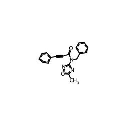 Cc1nc(N(Cc2ccccc2)C(=O)C#Cc2ccccc2)no1